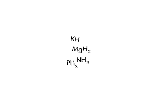 N.P.[KH].[MgH2]